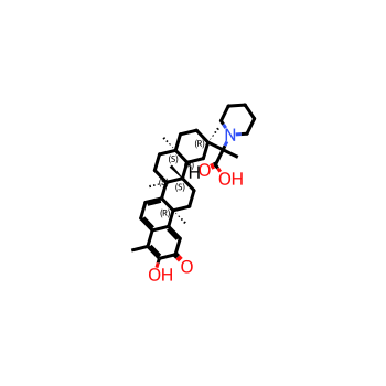 CC1=C(O)C(=O)C=C2C1=CC=C1[C@@]2(C)CC[C@@]2(C)[C@@H]3C[C@](C)(C(C)(C(=O)O)N4CCCCC4)CC[C@]3(C)CC[C@]12C